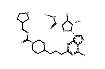 CCNC(=O)[C@H]1O[C@@H](n2cnc3c(N)nc(CCCC4CCN(C(=O)OCC5CCNC5)CC4)nc32)[C@@H](O)C1O